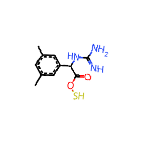 Cc1cc(C)cc(C(NC(=N)N)C(=O)OS)c1